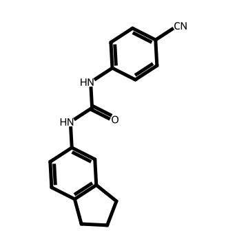 N#Cc1ccc(NC(=O)Nc2ccc3c(c2)CCC3)cc1